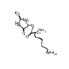 NCCCC[C@H](N)C(=O)OC1NC(=O)NC1=O